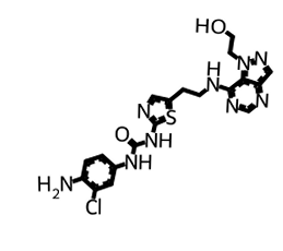 Nc1ccc(NC(=O)Nc2ncc(CCNc3ncnc4cnn(CCO)c34)s2)cc1Cl